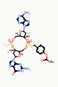 B[P@@]1(=O)OC[C@H]2O[C@@H](n3cnc4c(N)ncnc43)[C@H](F)[C@@H]2O[P@@](=O)(SCc2ccc(OC(=O)CCCC)cc2)OC[C@H]2O[C@@H](n3cnc4c(=O)[nH]c(N)nc43)[C@H](F)[C@@H]2O1